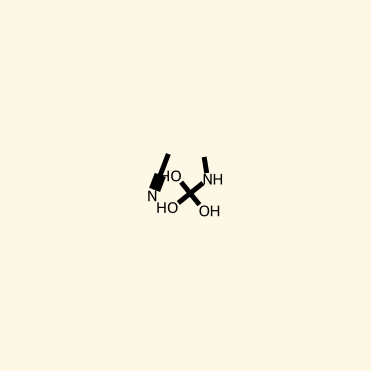 CC#N.CNC(O)(O)O